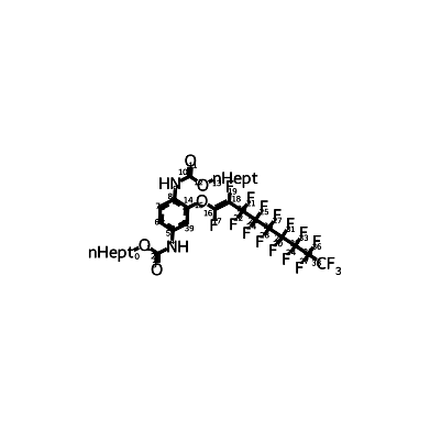 CCCCCCCOC(=O)Nc1ccc(NC(=O)OCCCCCCC)c(OC(F)=C(F)C(F)(F)C(F)(F)C(F)(F)C(F)(F)C(F)(F)C(F)(F)C(F)(F)F)c1